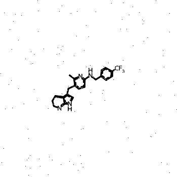 Cc1nc(NCc2ccc(C(F)(F)F)cc2)ccc1Cc1c[nH]c2c1=CCCN=2